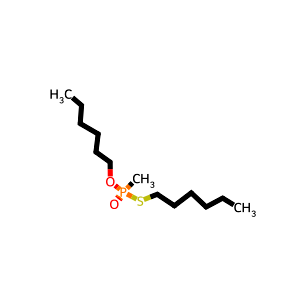 CCCCCCOP(C)(=O)SCCCCCC